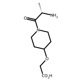 C[C@H](N)C(=O)N1CCC(OCC(=O)O)CC1